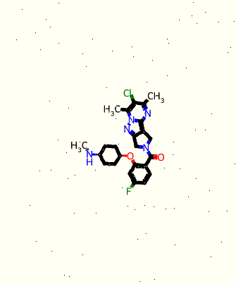 CN[C@H]1CC[C@@H](Oc2cc(F)ccc2C(=O)N2Cc3nn4c(C)c(Cl)c(C)nc4c3C2)CC1